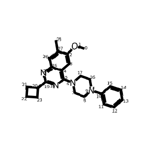 COc1cc2c(N3CCN(c4ccccc4)CC3)nc(C3CCC3)nc2cc1C